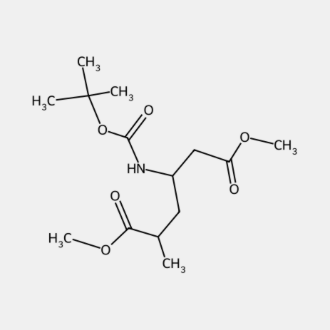 COC(=O)CC(CC(C)C(=O)OC)NC(=O)OC(C)(C)C